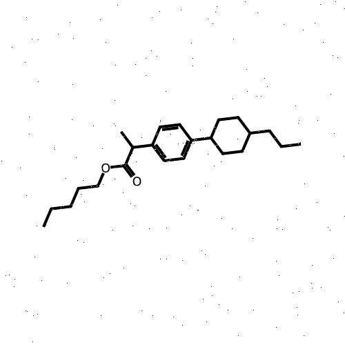 CCCCCOC(=O)C(C)c1ccc(C2CCC(CCC)CC2)cc1